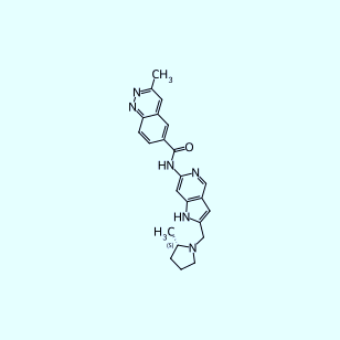 Cc1cc2cc(C(=O)Nc3cc4[nH]c(CN5CCC[C@@H]5C)cc4cn3)ccc2nn1